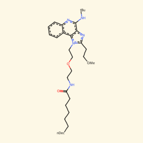 CCCCCCCCCCCCCCCC(=O)NCCOCCn1c(CCOC)nc2c(NC(C)(C)C)nc3ccccc3c21